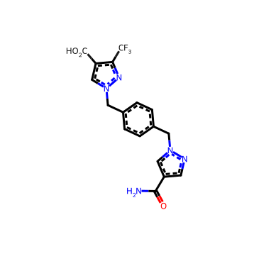 NC(=O)c1cnn(Cc2ccc(Cn3cc(C(=O)O)c(C(F)(F)F)n3)cc2)c1